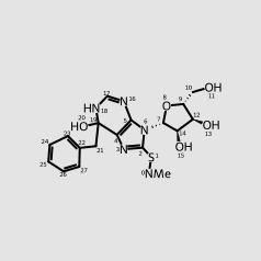 CNSc1nc2c(n1[C@@H]1O[C@H](CO)[C@@H](O)[C@H]1O)N=CNC2(O)Cc1ccccc1